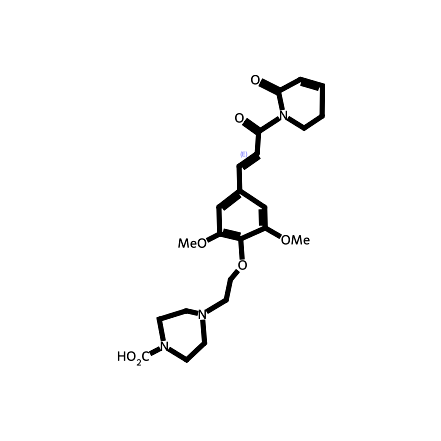 COc1cc(/C=C/C(=O)N2CCC=CC2=O)cc(OC)c1OCCN1CCN(C(=O)O)CC1